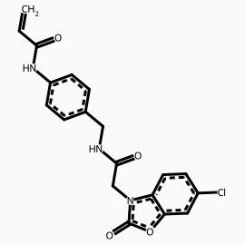 C=CC(=O)Nc1ccc(CNC(=O)Cn2c(=O)oc3cc(Cl)ccc32)cc1